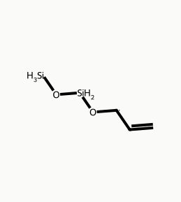 C=C[CH]O[SiH2]O[SiH3]